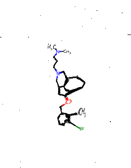 Cc1c(Br)cccc1COC1=C2C=CC3=C(C2)C(=C1)CN(CCCN(C)C)C3